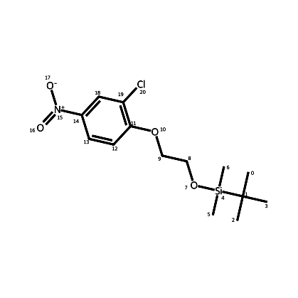 CC(C)(C)[Si](C)(C)OCCOc1ccc([N+](=O)[O-])cc1Cl